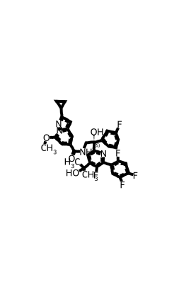 COc1cc(C(=O)NC[C@@](O)(c2cccc(F)c2)c2cc(C(C)(C)O)c(F)c(-c3cc(F)c(F)cc3F)n2)cc2cc(C3CC3)nn12